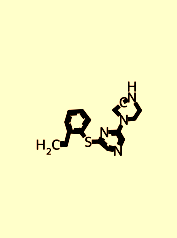 C=Cc1ccccc1Sc1cncc(N2CCNCC2)n1